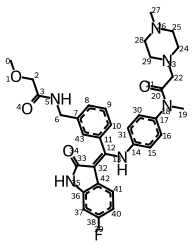 COCC(=O)NCc1cccc(C(Nc2ccc(N(C)C(=O)CN3CCN(C)CC3)cc2)=C2C(=O)Nc3cc(F)ccc32)c1